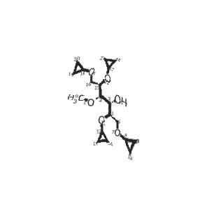 CO[C@@H]([C@H](O)[C@@H](COC1CC1)OC1CC1)[C@@H](COC1CC1)OC1CC1